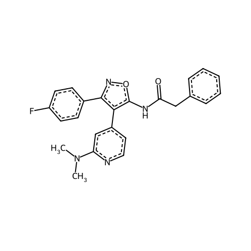 CN(C)c1cc(-c2c(-c3ccc(F)cc3)noc2NC(=O)Cc2ccccc2)ccn1